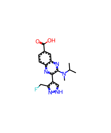 CC(C)N(C)c1nc2cc(C(=O)O)ccc2nc1-c1c[nH]nc1CF